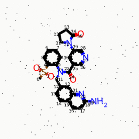 CS(=O)(=O)c1ccccc1N(Cc1ccc2ccc(N)nc2c1)C(=O)c1cncc(N2CCCC2=O)c1